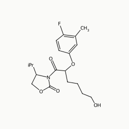 Cc1cc(OC(CCCCO)C(=O)N2C(=O)OCC2C(C)C)ccc1F